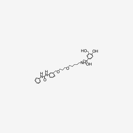 O=C(Nc1ccccc1)Nc1cccc(COCCCOCCCCCNC[C@@H](O)c2ccc(O)c(CO)c2)c1